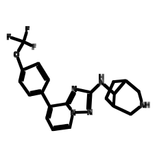 FC(F)(F)Oc1ccc(-c2cccn3nc(NC4C5CCC4CNC5)nc23)cc1